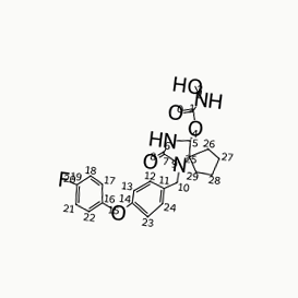 O=C(NO)O[C@H]1NC(=O)N(Cc2ccc(Oc3ccc(F)cc3)cc2)C12CCCC2